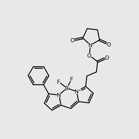 O=C(CCC1=[N+]2C(=Cc3ccc(-c4ccccc4)n3[B-]2(F)F)C=C1)ON1C(=O)CCC1=O